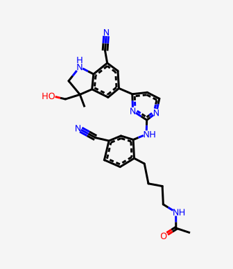 CC(=O)NCCCCc1ccc(C#N)cc1Nc1nccc(-c2cc(C#N)c3c(c2)C(C)(CO)CN3)n1